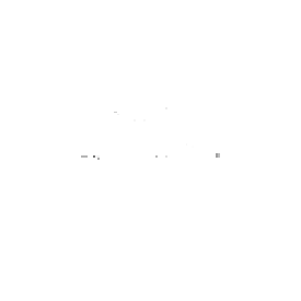 NCc1c(N)ccc(F)c1F